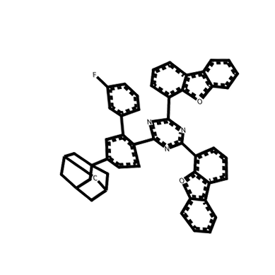 Fc1cccc(-c2cc(C34CC5CC(CC(C5)C3)C4)ccc2-c2nc(-c3cccc4c3oc3ccccc34)nc(-c3cccc4c3oc3ccccc34)n2)c1